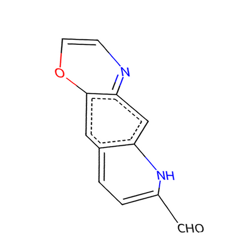 O=CC1=CC=c2cc3c(cc2N1)=NC=CO3